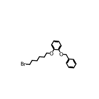 BrCCCCCCOc1ccccc1OCc1ccccc1